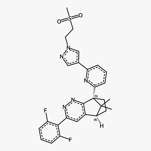 CC1(C)[C@H]2CC[C@]1(c1cccc(-c3cnn(CCS(C)(=O)=O)c3)n1)c1nnc(-c3c(F)cccc3F)cc12